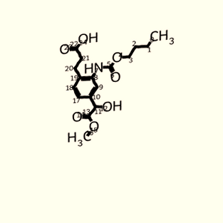 CCCCOC(=O)Nc1cc(C(O)C(=O)OC)ccc1CCC(=O)O